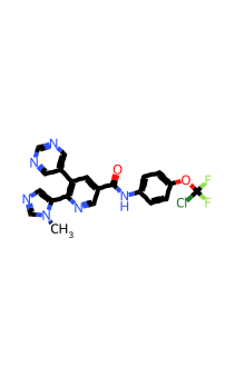 Cn1cncc1-c1ncc(C(=O)Nc2ccc(OC(F)(F)Cl)cc2)cc1-c1cncnc1